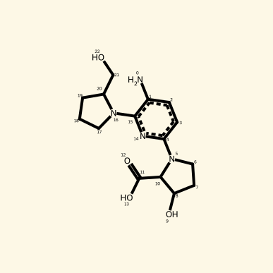 Nc1ccc(N2CCC(O)C2C(=O)O)nc1N1CCCC1CO